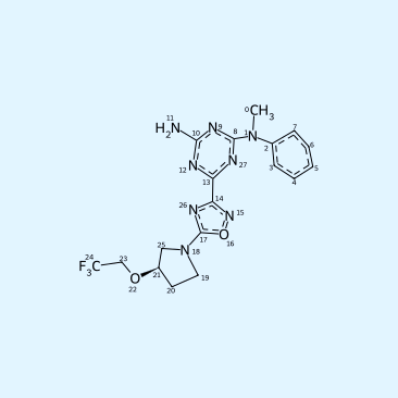 CN(c1ccccc1)c1nc(N)nc(-c2noc(N3CC[C@@H](OCC(F)(F)F)C3)n2)n1